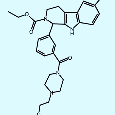 CCOC(=O)N1CCc2c([nH]c3ccc(Cl)cc23)C1c1cccc(C(=O)N2CCN(CCOC)CC2)c1